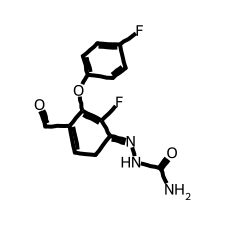 NC(=O)NN=C1CC=C(C=O)C(Oc2ccc(F)cc2)=C1F